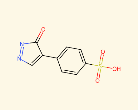 O=C1N=NC=C1c1ccc(S(=O)(=O)O)cc1